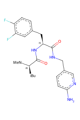 CCC(C)[C@@H](NC)C(=O)N[C@@H](Cc1ccc(F)c(F)c1)C(=O)NCc1ccc(N)nc1